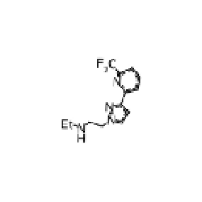 CCNCCn1ccc(-c2cccc(C(F)(F)F)n2)n1